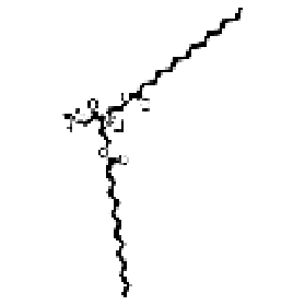 CCCCCCCCCCCCCC(=O)OCC[N+](Cl)(CCOC(=O)CCCCCCCCCCCCC)C(=O)C[N+](C)(C)C